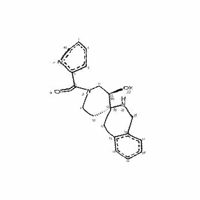 O=C(c1ccccn1)N1CC[C@]2(Cc3ccccc3CN2)[C@H](O)C1